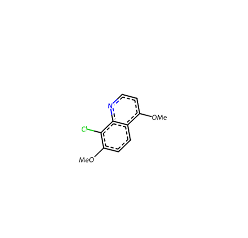 COc1ccc2c(OC)ccnc2c1Cl